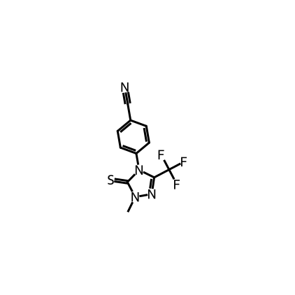 Cn1nc(C(F)(F)F)n(-c2ccc(C#N)cc2)c1=S